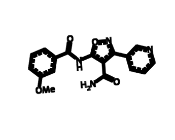 COc1cccc(C(=O)Nc2onc(-c3cccnc3)c2C(N)=O)c1